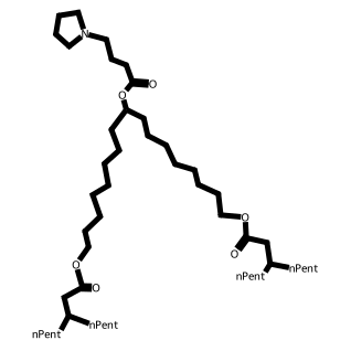 CCCCCC(CCCCC)CC(=O)OCCCCCCCCC(CCCCCCCCOC(=O)CC(CCCCC)CCCCC)OC(=O)CCCN1CCCC1